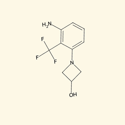 Nc1cccc(N2CC(O)C2)c1C(F)(F)F